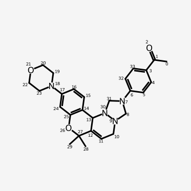 CC(=O)c1ccc(N2CN3CC=C4C(c5ccc(N6CCOCC6)cc5OC4(C)C)N3C2)cc1